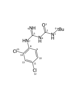 CC(C)(C)NC(=O)NC(=N)Nc1ccc(Cl)cc1Cl